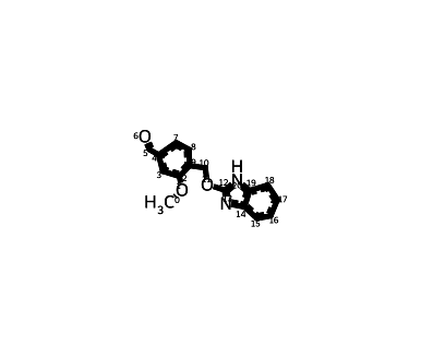 COc1cc(C=O)ccc1COc1nc2ccccc2[nH]1